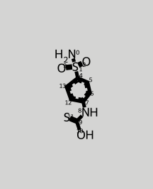 NS(=O)(=O)c1ccc(NC(O)=S)cc1